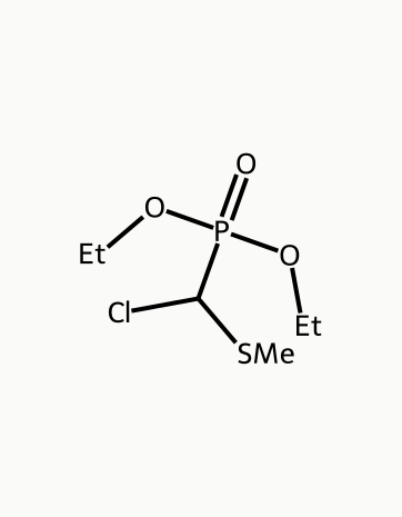 CCOP(=O)(OCC)C(Cl)SC